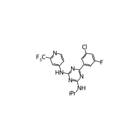 CC(C)Nc1nc(Nc2ccnc(C(F)(F)F)c2)nc(-c2cc(F)cc(Cl)c2)n1